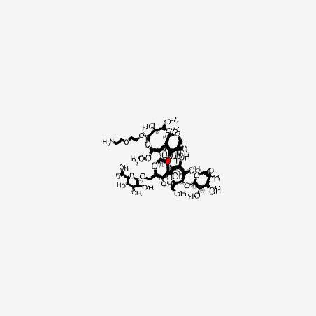 COC1O[C@@H](OCCOCCN)[C@@H](O)C(C)O[C@@H]2OC3O[C@@H]3C(O[C@@H]3OC(CO)[C@@H](O[C@H]4OC5O[C@@H]5C(O)[C@@H]4O)C(O)C3O)[C@@]2(O)C1[C@H]1OC(CO[C@H]2OC(C(=O)O)[C@@H](O)C(O)C2O)[C@@H](O)C(O)C1O